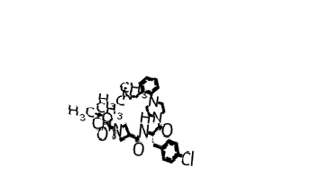 CN(C)Cc1ccccc1N1CCN(C(=O)[C@H](Cc2ccc(Cl)cc2)NC(=O)C2CN(C(=O)OC(C)(C)C)C2)CC1